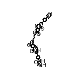 CN[C@@H](C)C(=O)Nc1ccc(C2=CN3C(=O)c4cc(OC)c(OCCCCCOc5cc6c(cc5OC)C(=O)N5C=C(c7ccc(N8CCN(C)CC8)cc7)CC5C=N6)cc4N=C[C@@H]3C2)cc1